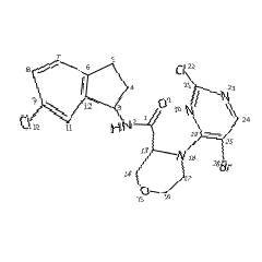 O=C(NC1CCc2ccc(Cl)cc21)C1COCCN1c1nc(Cl)ncc1Br